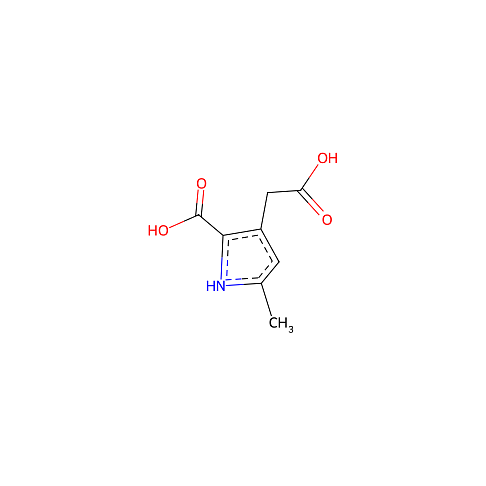 Cc1cc(CC(=O)O)c(C(=O)O)[nH]1